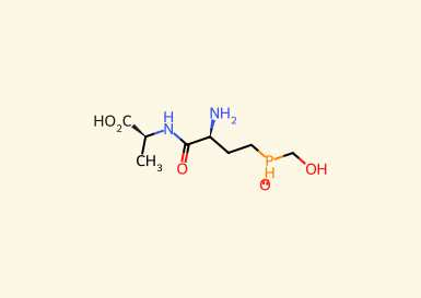 C[C@H](NC(=O)[C@@H](N)CC[PH](=O)CO)C(=O)O